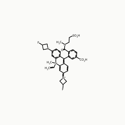 C=C[Si]1(C)C2=CC(=[N+]3CC(F)C3)C=CC2=C(c2cc(C(=O)O)ccc2C(=O)N(C)CCS(=O)(=O)O)c2ccc(N3CC(F)C3)cc21